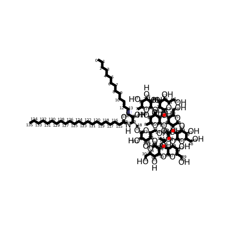 CCCCCCCCCCCCC/C=C/[C@@H](O)[C@H](CO[C@@H]1OC(CO)[C@@H](O[C@@H]2OC(CO)[C@H](O)[C@H](O[C@@H]3OC(CO)[C@@H](O)[C@H](O[C@@H]4OC(CO)[C@H](O)[C@H](O[C@@H]5OC(CO)[C@@H](O[C@@H]6OC(CO)[C@H](O)[C@H](O)C6O[C@H]6OC(C)[C@@H](O)C(O)[C@@H]6O)[C@H](O[C@H]6OC(C)[C@@H](O)C(O)[C@@H]6O)C5NC(C)=O)C4O)C3NC(C)=O)C2O)[C@H](O)C1O)NC(=O)CCCCCCCCCCCCCCCCCCCCC